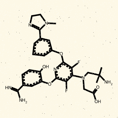 CN1CCN=C1c1cccc(Oc2nc(Oc3cc(C(=N)N)ccc3O)c(F)c(N(CC(=O)O)CC(C)(C)N)c2F)c1